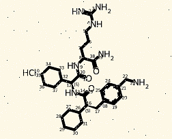 Cl.N=C(N)NCCCC(NC(=O)[C@@H](NC(=O)[C@@H](Cc1ccc(CN)cc1)C1CCCCC1)C1CCCCC1)C(N)=O